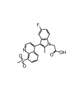 Cc1c(-c2ccnc3c(S(C)(=O)=O)cccc23)c2cc(F)ccc2n1CC(=O)O